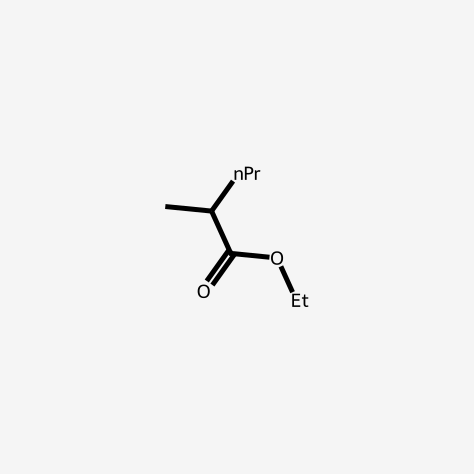 C[CH]CC(C)C(=O)OCC